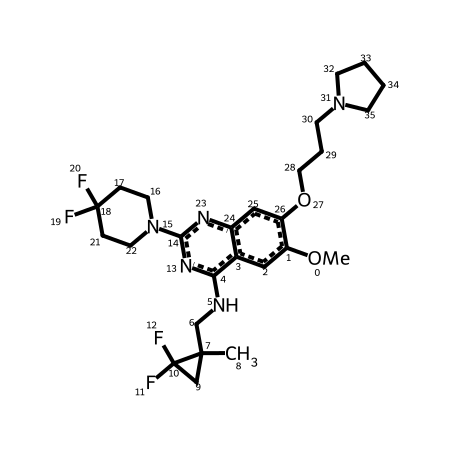 COc1cc2c(NCC3(C)CC3(F)F)nc(N3CCC(F)(F)CC3)nc2cc1OCCCN1CCCC1